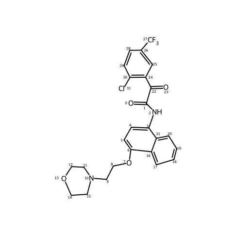 O=C(Nc1ccc(OCCN2CCOCC2)c2ccccc12)C(=O)c1cc(C(F)(F)F)ccc1Cl